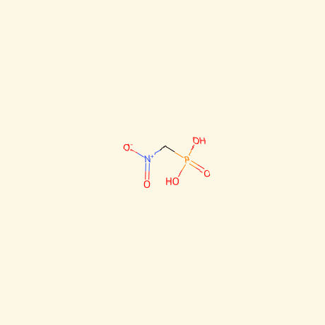 O=[N+]([O-])CP(=O)(O)O